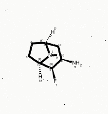 CN1[C@H]2CC[C@@H]1[C@H](F)[C@H](N)C2